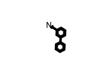 N#Cc1cccc(-c2ccccc2)c1